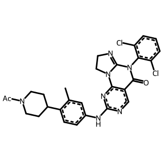 CC(=O)N1CCC(c2ccc(Nc3ncc4c(n3)N3CCN=C3N(c3c(Cl)cccc3Cl)C4=O)cc2C)CC1